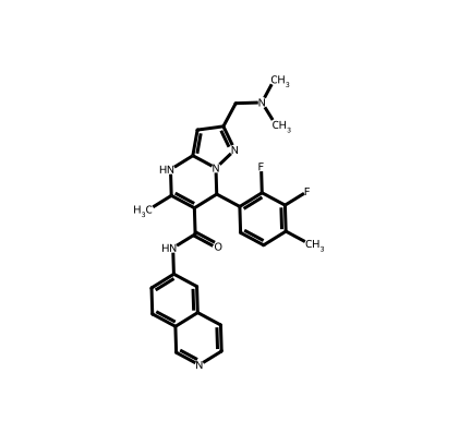 CC1=C(C(=O)Nc2ccc3cnccc3c2)C(c2ccc(C)c(F)c2F)n2nc(CN(C)C)cc2N1